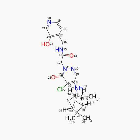 C[C@@H]1[C@H]2C[C@@H](C[C@H]1Nc1cnn(CC(=O)NCc3ccncc3O)c(=O)c1Cl)C2(C)C